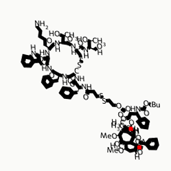 CO[C@H]1C(=O)[C@@]2(C)C(C3(OC(=O)c4ccccc4)C[C@H](OC(=O)[C@H](OC(=O)OCCSSCCC(=O)N[C@H](Cc4ccccc4)C(=O)N[C@H]4CSSC[C@@H](C(=O)N[C@H](CO)[C@@H](C)O)NC(=O)[C@H]([C@@H](C)O)NC(=O)[C@H](CCCCCN)NC(=O)[C@@H](Cc5c[nH]c6ccccc56)NC(=O)[C@H](Cc5ccccc5)NC4=O)[C@@H](NC(=O)OC(C)(C)C)c4ccccc4)C(C)=C1C(C)(C)[C@@H]3O)[C@]1(OC(C)=O)CO[C@@H]1C[C@@H]2OC